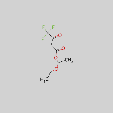 CCOC(C)OC(=O)CC(=O)C(F)(F)F